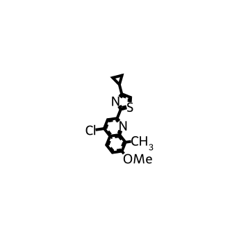 COc1ccc2c(Cl)cc(-c3nc(C4CC4)cs3)nc2c1C